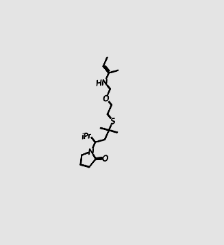 C/C=C(\C)NCOCCSC(C)(C)CC(C(C)C)N1CCCC1=O